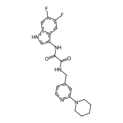 O=C(NCc1ccnc(N2CCCCC2)c1)C(=O)Nc1c[nH]c2cc(F)c(F)cc12